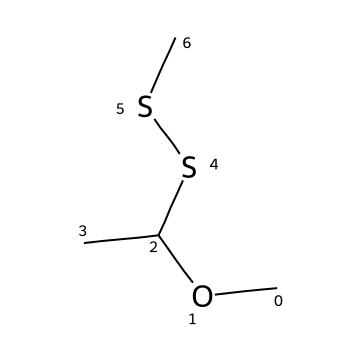 COC(C)SSC